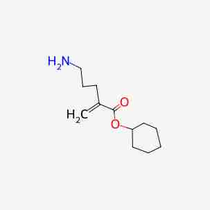 C=C(CCCN)C(=O)OC1CCCCC1